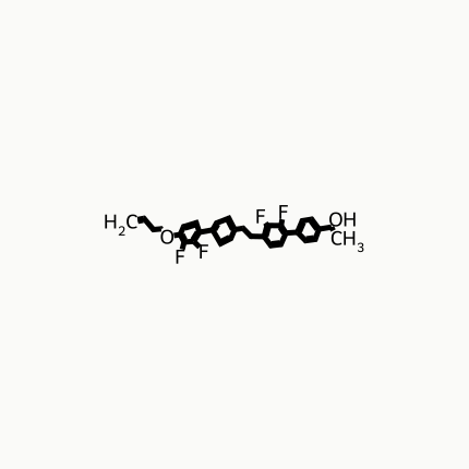 C=CCCOc1ccc(-c2ccc(CCc3ccc(-c4ccc(C(C)O)cc4)c(F)c3F)cc2)c(F)c1F